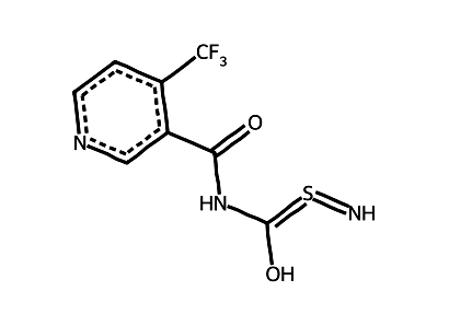 N=S=C(O)NC(=O)c1cnccc1C(F)(F)F